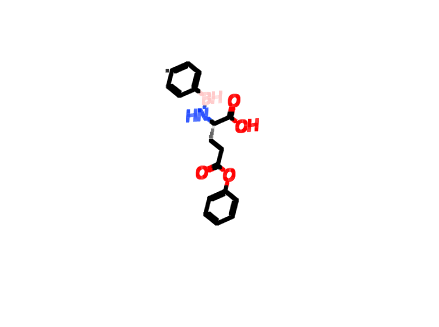 O=C(CC[C@H](NBc1cc[c]cc1)C(=O)O)Oc1ccccc1